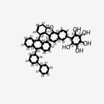 Oc1c(O)c(O)c(-c2ccc3c4c(ccc3c2)C2=C(c3c5ccccc5c(-c5cccc(-c6ccccc6)c5)c5ccccc35)C=CCC2O4)c(O)c1O